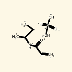 C=CC(=O)NC(C)CC.O=S(=O)(O)O